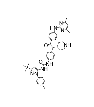 Cc1ccc(-n2nc(C(C)(C)C)cc2NC(=O)Nc2ccc(C(C(=O)c3ccc(Nc4nc(C)cc(C)n4)cc3)C3CCNCC3)cc2)cc1